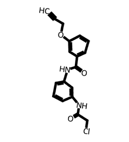 C#CCOc1cccc(C(=O)Nc2cccc(NC(=O)CCl)c2)c1